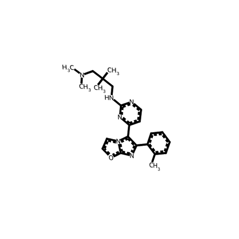 Cc1ccccc1-c1nc2occn2c1-c1ccnc(NCC(C)(C)CN(C)C)n1